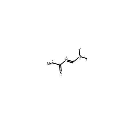 CNC(=S)/N=C/N(C)C